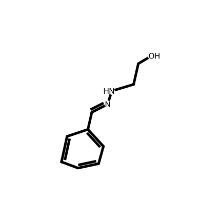 OCCNN=Cc1ccccc1